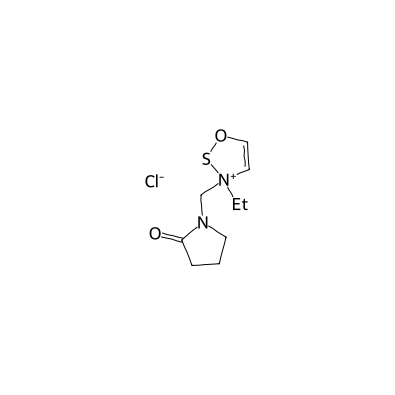 CC[N+]1(CN2CCCC2=O)C=COS1.[Cl-]